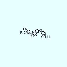 O=C(O)c1cc(Oc2ccc3nc(Nc4ccc(Cl)c(C(F)(F)F)c4)nnc3c2)ccn1